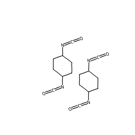 O=C=NC1CCC(N=C=O)CC1.O=C=NC1CCC(N=C=O)CC1